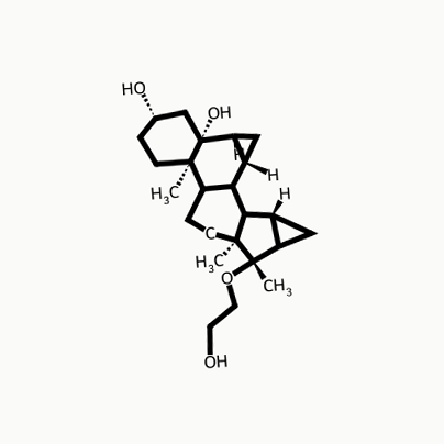 C[C@]12CCC3C(C1[C@@H]1CC1[C@]2(C)OCCO)[C@H]1C[C@H]1[C@]1(O)C[C@@H](O)CC[C@]31C